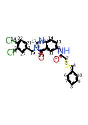 O=C(CSCc1ccccc1)Nc1ccc2ncn(Cc3ccc(Cl)c(Cl)c3)c(=O)c2c1